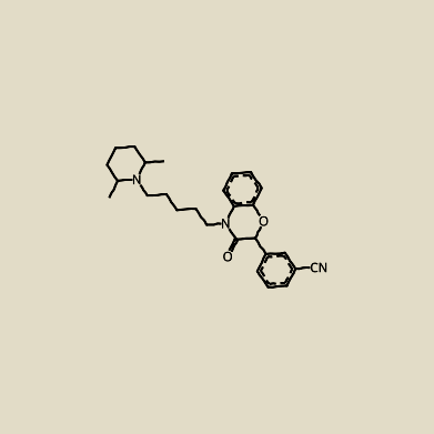 CC1CCCC(C)N1CCCCCN1C(=O)C(c2cccc(C#N)c2)Oc2ccccc21